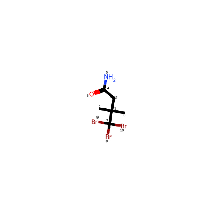 CC(C)(CC(N)=O)C(Br)(Br)Br